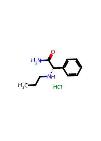 CCCN[C@H](C(N)=O)c1ccccc1.Cl